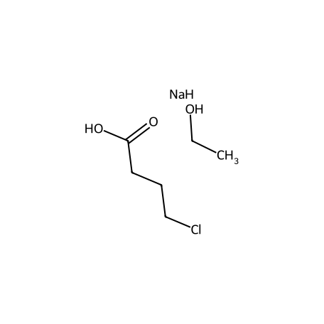 CCO.O=C(O)CCCCl.[NaH]